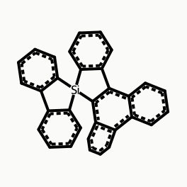 c1ccc2c(c1)-c1ccccc1[Si]21c2ccccc2-c2c1c1ccccc1c1ccccc21